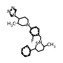 CC1CCC(c2ccccc2)SN1Cc1ccc(N2CCC(n3cnnc3)[C@@H](C)C2)cc1F